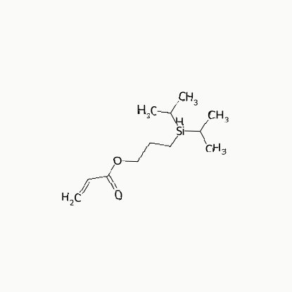 C=CC(=O)OCCC[SiH](C(C)C)C(C)C